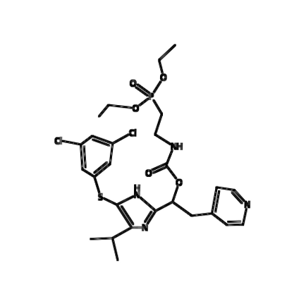 CCOP(=O)(CCNC(=O)OC(Cc1ccncc1)c1nc(C(C)C)c(Sc2cc(Cl)cc(Cl)c2)[nH]1)OCC